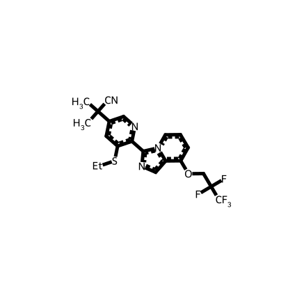 CCSc1cc(C(C)(C)C#N)cnc1-c1ncc2c(OCC(F)(F)C(F)(F)F)cccn12